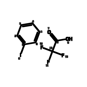 Ic1ccccc1.O=C(O)C(F)(F)F